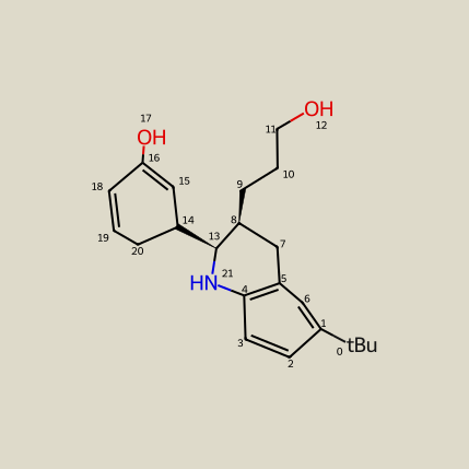 CC(C)(C)c1ccc2c(c1)C[C@H](CCCO)[C@H](C1C=C(O)C=CC1)N2